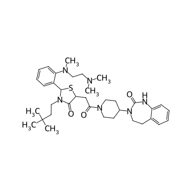 CN(C)CCN(C)c1ccccc1C1SC(CC(=O)N2CCC(N3CCc4ccccc4NC3=O)CC2)C(=O)N1CCC(C)(C)C